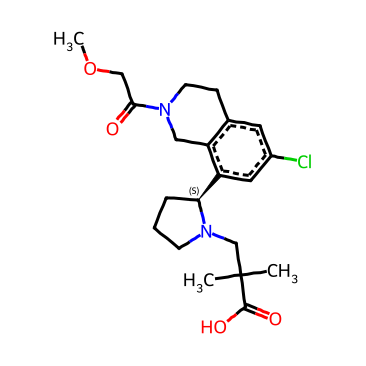 COCC(=O)N1CCc2cc(Cl)cc([C@@H]3CCCN3CC(C)(C)C(=O)O)c2C1